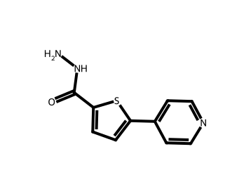 NNC(=O)c1ccc(-c2ccncc2)s1